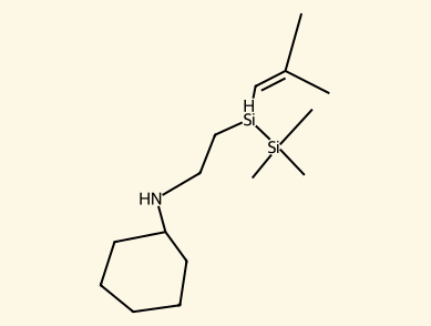 CC(C)=C[SiH](CCNC1CCCCC1)[Si](C)(C)C